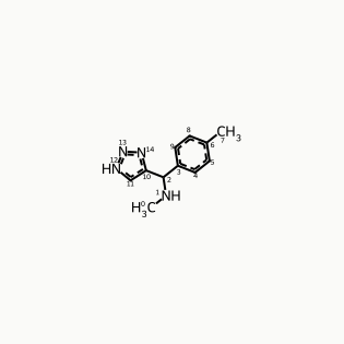 CNC(c1ccc(C)cc1)c1c[nH]nn1